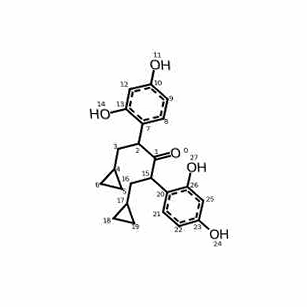 O=C(C(CC1CC1)c1ccc(O)cc1O)C(CC1CC1)c1ccc(O)cc1O